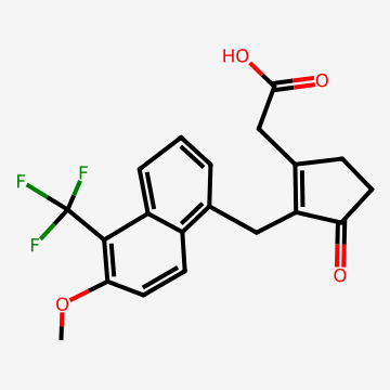 COc1ccc2c(CC3=C(CC(=O)O)CCC3=O)cccc2c1C(F)(F)F